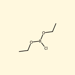 CCOB(Cl)OCC